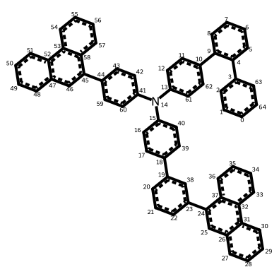 c1ccc(-c2ccccc2-c2ccc(N(c3ccc(-c4cccc(-c5cc6ccccc6c6ccccc56)c4)cc3)c3ccc(-c4cc5ccccc5c5ccccc45)cc3)cc2)cc1